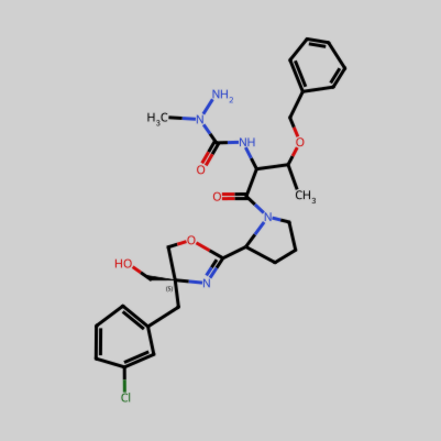 CC(OCc1ccccc1)C(NC(=O)N(C)N)C(=O)N1CCCC1C1=N[C@](CO)(Cc2cccc(Cl)c2)CO1